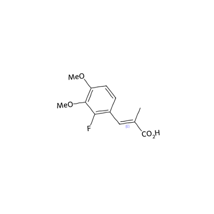 COc1ccc(/C=C(\C)C(=O)O)c(F)c1OC